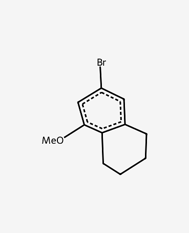 COc1cc(Br)cc2c1CCCC2